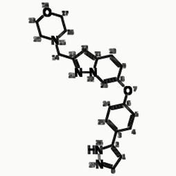 c1cc(-c2ccc(Oc3ccc4cc(CN5CCOCC5)nn4c3)cc2)[nH]n1